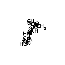 COc1ccc(S(C)(=O)=O)c(CC(=O)Nc2cc([C@H]3CC[C@@H](N(C(=O)O)C4(C)CC4)C3)[nH]n2)c1